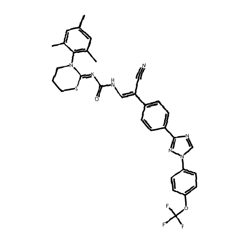 Cc1cc(C)c(N2CCCS/C2=N\C(=O)N/C=C(\C#N)c2ccc(-c3ncn(-c4ccc(OC(F)(F)F)cc4)n3)cc2)c(C)c1